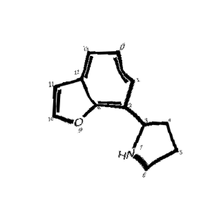 c1cc(C2CCCN2)c2occc2c1